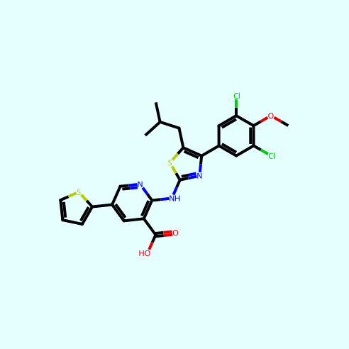 COc1c(Cl)cc(-c2nc(Nc3ncc(-c4cccs4)cc3C(=O)O)sc2CC(C)C)cc1Cl